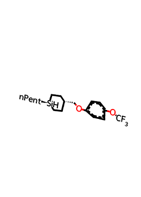 CCCCC[Si@H]1CC[C@H](COc2ccc(OC(F)(F)F)cc2)CC1